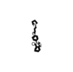 O=c1c2ccccc2ncn1-c1ccc(OCCCN2CCCC2)cc1